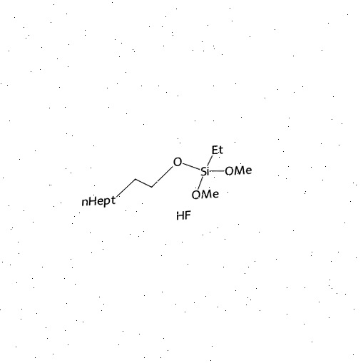 CCCCCCCCCO[Si](CC)(OC)OC.F